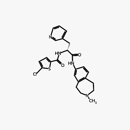 CN1CCc2ccc(NC(=O)[C@@H](Cc3cccnc3)NC(=O)c3ccc(Cl)s3)cc2CC1